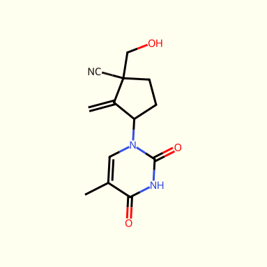 C=C1C(n2cc(C)c(=O)[nH]c2=O)CCC1(C#N)CO